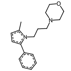 Cc1ccc(-c2ccccc2)n1CCCN1CCOCC1